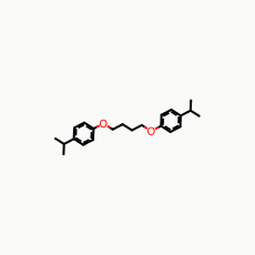 CC(C)c1ccc(OCCCCOc2ccc(C(C)C)cc2)cc1